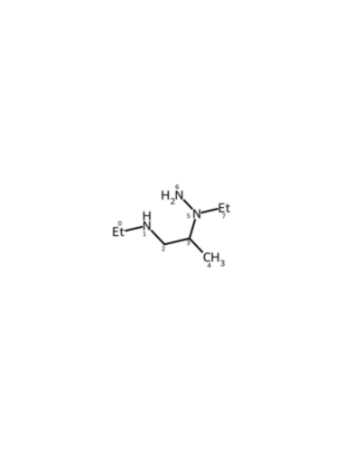 CCNCC(C)N(N)CC